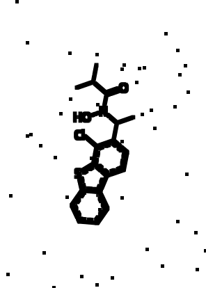 CC(C)C(=O)N(O)C(C)c1ccc2c(sc3ccccc32)c1Cl